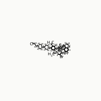 CCc1cc(Nc2ncc(Br)c(Nc3ccc4nccnc4c3NS(C)(=O)=O)n2)c(OC)cc1N1CCC(N2CCN(CCCl)CC2)CC1